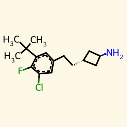 CC(C)(C)c1cc(CC[C@H]2C[C@H](N)C2)cc(Cl)c1F